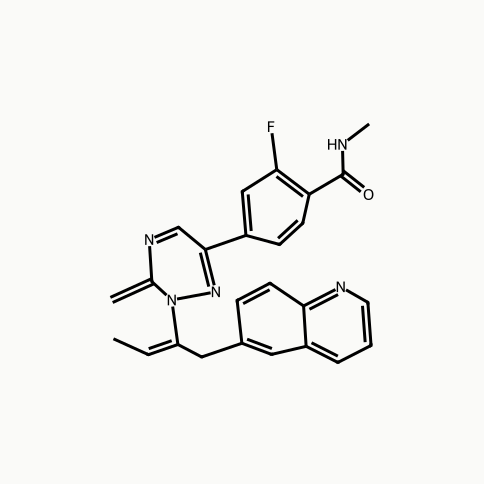 C=C1N=CC(c2ccc(C(=O)NC)c(F)c2)=NN1/C(=C\C)Cc1ccc2ncccc2c1